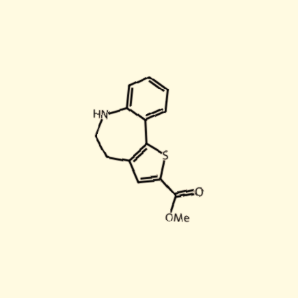 COC(=O)c1cc2c(s1)-c1ccccc1NCC2